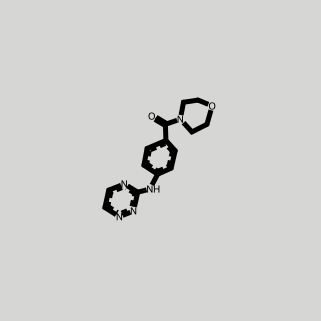 O=C(c1ccc(Nc2nccnn2)cc1)N1CCOCC1